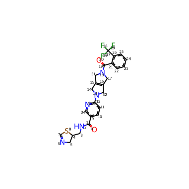 O=C(NCC1CN=CS1)c1ccc(N2CC3=C(CN(C(=O)c4ccccc4C(F)(F)F)C3)C2)nc1